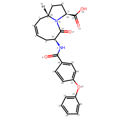 O=C(N[C@H]1CC=CC[C@@H]2CC[C@@H](C(=O)O)N2C1=O)c1ccc(Oc2ccccc2)cc1